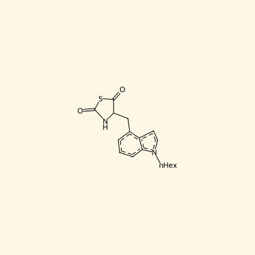 CCCCCCn1ccc2c(CC3NC(=O)SC3=O)cccc21